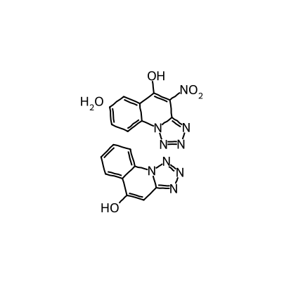 O.O=[N+]([O-])c1c(O)c2ccccc2n2nnnc12.Oc1cc2nnnn2c2ccccc12